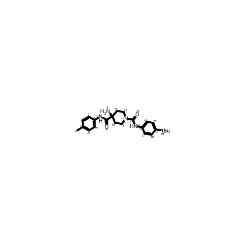 Cc1ccc(NC(=O)C2(N)CCN(C(=O)Nc3ccc(C(C)(C)C)cc3)CC2)cc1